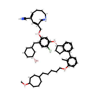 COC1CCCC(CCCCCOc2cccc(-c3cccc4c3CC[C@@H]4Oc3cc(OCC4=C/C(C#N)=C\CCC\N=C\4)c(CC4CCC[C@@H](O)C4)cc3Cl)c2C)CC1